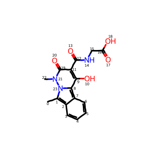 Cc1c2ccccc2c2c(O)c(C(=O)NCC(=O)O)c(=O)n(C)n12